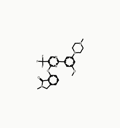 COc1cc(-c2ncc(C(F)(F)F)c(Oc3cccc4c3C(=O)N(C)C4)n2)cc(N2CCN(C)CC2)c1